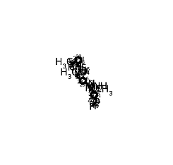 CNc1nc(-c2ccc(CN(C)N3CCCSC3Nc3ccccc3C(C)C)cc2)nn1-c1ccc(OC(F)(F)F)cc1